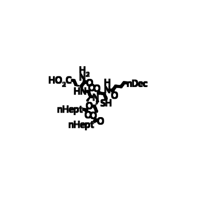 CCCCCCCCCCCCCC(=O)NC(CS)C(=O)N(C[C@H](COC(=O)CCCCCCC)OC(=O)CCCCCCC)[C@@H](C)C(=O)N[C@H](CCC(=O)O)C(N)=O